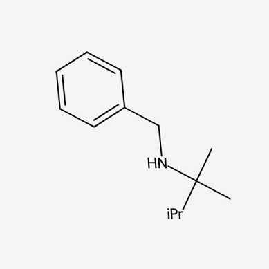 CC(C)C(C)(C)NCc1ccccc1